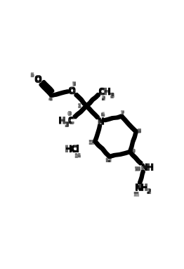 CC(C)(OC=O)N1CCC(NN)CC1.Cl